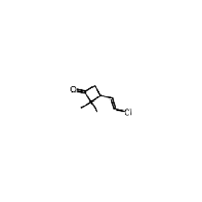 CC1(C)C(=O)CC1/C=C/Cl